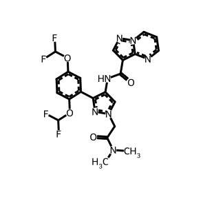 CN(C)C(=O)Cn1cc(NC(=O)c2cnn3cccnc23)c(-c2cc(OC(F)F)ccc2OC(F)F)n1